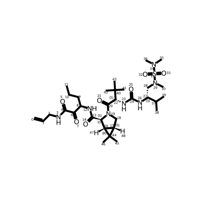 C=CCNC(=O)C(=O)C(CCC)NC(=O)[C@@H]1[C@@H]2[C@H](CN1C(=O)[C@@H](NC(=O)N[C@H](CN(C)S(=O)(=O)N(C)C)C(C)C)C(C)(C)C)C2(C)C